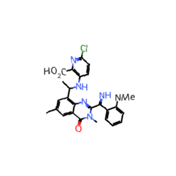 CNc1ccccc1C(=N)c1nc2c(C(C)Nc3ccc(Cl)nc3C(=O)O)cc(C)cc2c(=O)n1C